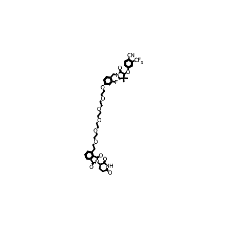 CC1(C)CN(Cc2ccc(OCCOCCOCCOCCOCCOCCc3cccc4c3C(=O)N(C3CCC(=O)NC3=O)C4=O)cc2F)C(=O)C1Oc1ccc(C#N)c(C(F)(F)F)c1